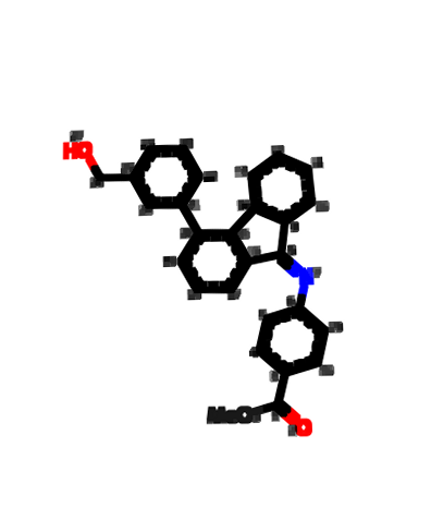 COC(=O)c1ccc(/N=C2/c3ccccc3-c3c2cccc3-c2cccc(CO)c2)cc1